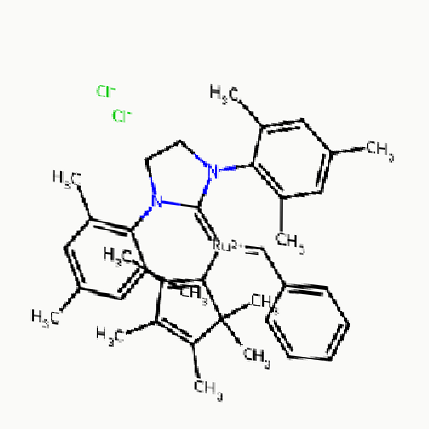 CC1=C(C)C(C)(C)[C]([Ru+2](=[CH]c2ccccc2)=[C]2N(c3c(C)cc(C)cc3C)CCN2c2c(C)cc(C)cc2C)=C1C.[Cl-].[Cl-]